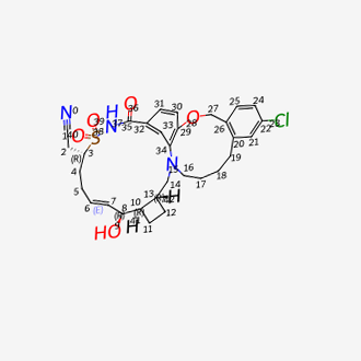 N#CC[C@H]1CC/C=C/[C@H](O)[C@@H]2CC[C@H]2CN2CCCCc3cc(Cl)ccc3COc3ccc(cc32)C(=O)NS1(=O)=O